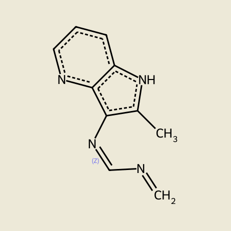 C=N/C=N\c1c(C)[nH]c2cccnc12